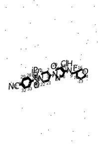 CC(C)[C@@H]1C[C@H](n2ncc(NC[C@@]3(F)CCCOC3)c(Cl)c2=O)CCN1S(=O)(=O)c1ccc(C#N)cc1